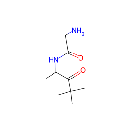 CC(NC(=O)CN)C(=O)C(C)(C)C